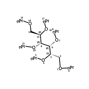 CCCOC[C@H](OCCC)[C@@H](OCCC)[C@H](OCCC)[C@@H](COCCC)OCCC